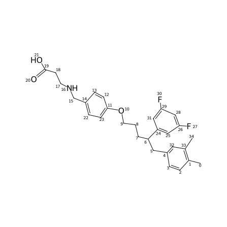 Cc1ccc(CC(CCCOc2ccc(CNCCC(=O)O)cc2)c2cc(F)cc(F)c2)cc1C